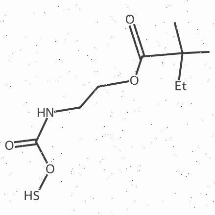 CCC(C)(C)C(=O)OCCNC(=O)OS